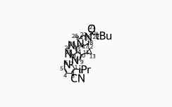 CC(C)c1c(C#N)ccnc1-n1cc(C2CC2)c2c(N3CCN(C(=O)C(C)(C)C)C[C@@H]3C)ncnc21